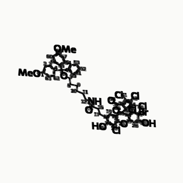 COc1ccc(C(OCCCCCCNC(=O)CCc2cc3c(c(Cl)c2O)Oc2cc(O)c(Br)cc2C32OC(=O)c3c(Cl)c(Cl)c(Cl)c(Cl)c32)(c2ccccc2)c2ccc(OC)cc2)cc1